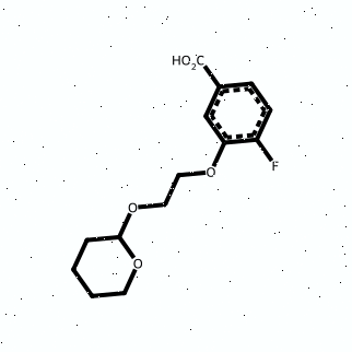 O=C(O)c1ccc(F)c(OCCOC2CCCCO2)c1